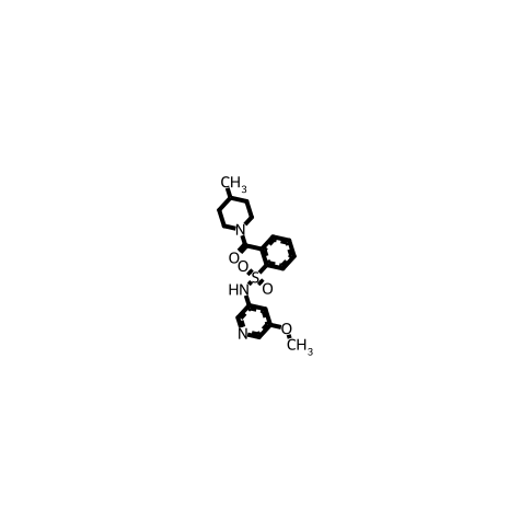 COc1cncc(NS(=O)(=O)c2ccccc2C(=O)N2CCC(C)CC2)c1